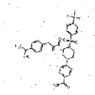 CC(C)c1ccc(CNC(=O)[C@H]2CN(c3cnc(C(N)=O)cn3)CCN2S(=O)(=O)c2ccc(C(F)(F)F)cc2)cc1